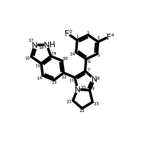 Fc1cc(F)cc(-c2nc3n(c2-c2ccc4cn[nH]c4c2)CCC3)c1